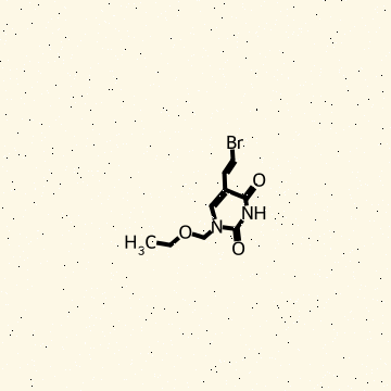 CCOCn1cc(/C=C/Br)c(=O)[nH]c1=O